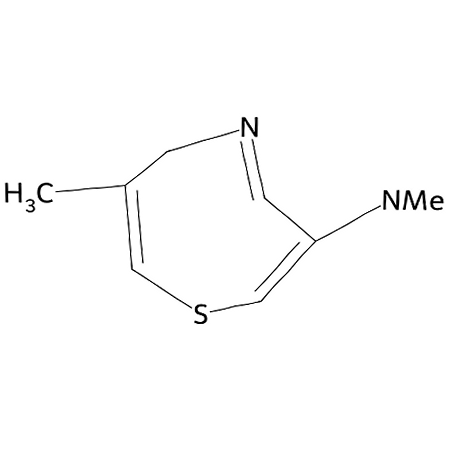 CNC1=C/S/C=C(/C)C\N=C\1